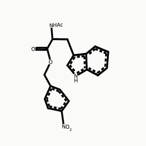 CC(=O)NC(Cc1c[nH]c2ccccc12)C(=O)OCc1ccc([N+](=O)[O-])cc1